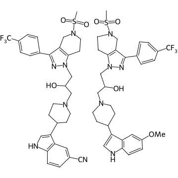 COc1ccc2[nH]cc(C3CCN(CC(O)Cn4nc(-c5ccc(C(F)(F)F)cc5)c5c4CCN(S(C)(=O)=O)C5)CC3)c2c1.CS(=O)(=O)N1CCc2c(c(-c3ccc(C(F)(F)F)cc3)nn2CC(O)CN2CCC(c3c[nH]c4ccc(C#N)cc34)CC2)C1